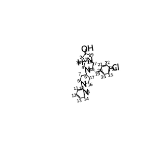 O[C@@H]1C[C@H]2CN(C3CCN(c4ccccn4)CC3)[C@@H](Cc3ccc(Cl)cc3)CN2C1